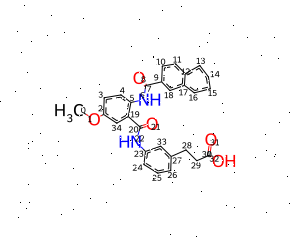 COc1ccc(NC(=O)c2ccc3ccccc3c2)c(C(=O)Nc2cccc(CCC(=O)O)c2)c1